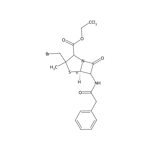 CC1(CBr)S[C@@H]2C(NC(=O)Cc3ccccc3)C(=O)N2C1C(=O)OCC(Cl)(Cl)Cl